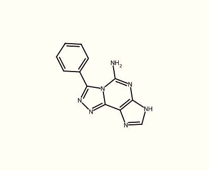 Nc1nc2[nH]cnc2c2nnc(-c3ccccc3)n12